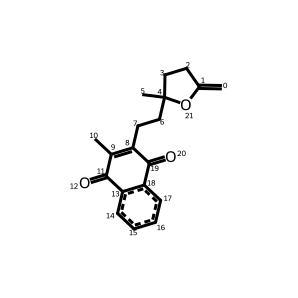 C=C1CCC(C)(CCC2=C(C)C(=O)c3ccccc3C2=O)O1